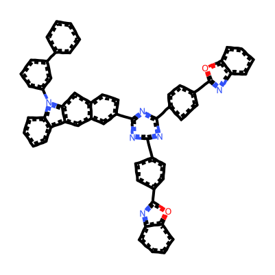 c1ccc(-c2cccc(-n3c4ccccc4c4cc5cc(-c6nc(-c7ccc(-c8nc9ccccc9o8)cc7)nc(-c7ccc(-c8nc9ccccc9o8)cc7)n6)ccc5cc43)c2)cc1